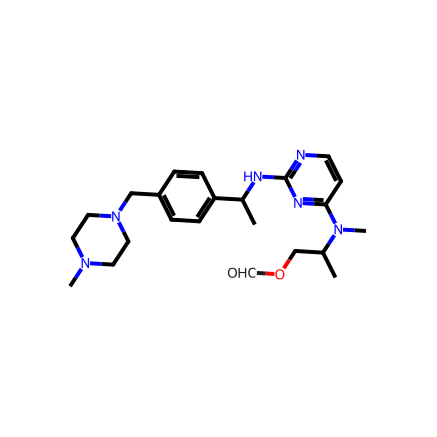 CC(Nc1nccc(N(C)C(C)COC=O)n1)c1ccc(CN2CCN(C)CC2)cc1